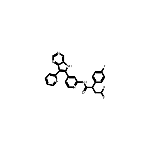 O=C(Nc1cc(-c2[nH]c3cncnc3c2-c2ccccn2)ccn1)C(CC(F)F)c1ccc(F)cc1